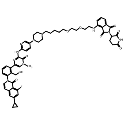 Cn1cc(-c2cccc(-n3ccc4cc(C5CC5)cc(F)c4c3=O)c2CO)nc(Nc2ccc(N3CCN(CCCCCOCCOCCNc4cccc5c4C(=O)N(C4CCC(=O)NC4=O)C5=O)CC3)cn2)c1=O